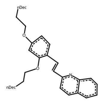 CCCCCCCCCCCCOc1ccc(C=Cc2ccc3ccccc3n2)c(OCCCCCCCCCCCC)c1